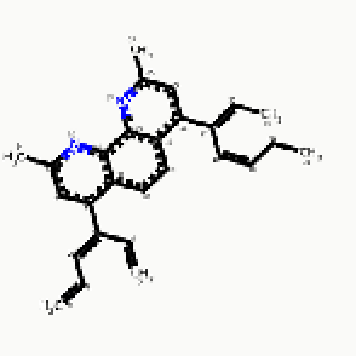 C=C/C=C(\C=C)c1cc(C)nc2c1ccc1c(C(/C=C\CC)=C/C)cc(C)nc12